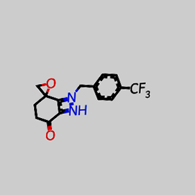 O=C1CCC2(CO2)c2c1[nH]n2Cc1ccc(C(F)(F)F)cc1